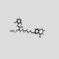 Cc1cncc(C)c1CN[C@@H](CCOCCCCc1ccc2c(n1)NCCC2)C(=O)O